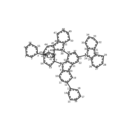 c1ccc(-c2ccc(-n3c4ccc(-c5ccccc5)cc4c4cc(-n5c6ccccc6c6ccccc65)cc(-n5c6ccccc6c6ccccc65)c43)cc2)cc1